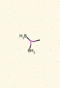 BP(B)C